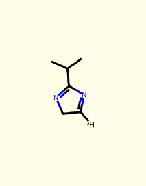 [2H]C1=NC(C(C)C)=NC1